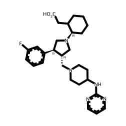 O=C(O)CC1CCCC[C@H]1N1C[C@H](CN2CCC(Nc3ncccn3)CC2)[C@@H](c2cccc(F)c2)C1